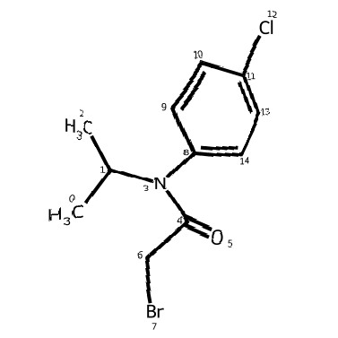 CC(C)N(C(=O)CBr)c1ccc(Cl)cc1